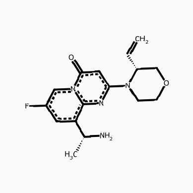 C=C[C@@H]1COCCN1c1cc(=O)n2cc(F)cc([C@@H](C)N)c2n1